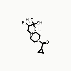 CC[C@H](CN1CCN(C(=O)C2CC2)CC1)C(C)(C)S